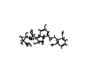 Cc1cc(OCc2c(F)cccc2F)n2nc(C)c(C(=O)NC3(C)CC3(C)N)c2c1